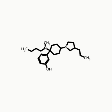 CCCCN(C)C1(c2cccc(O)c2)CCC(N2CCC(CCC)C2)CC1